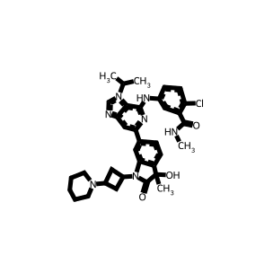 CNC(=O)c1cc(Nc2nc(-c3ccc4c(c3)N(C3CC(N5CCCCC5)C3)C(=O)C4(C)O)cc3ncn(C(C)C)c23)ccc1Cl